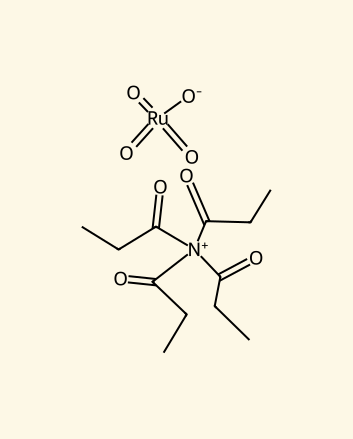 CCC(=O)[N+](C(=O)CC)(C(=O)CC)C(=O)CC.[O]=[Ru](=[O])(=[O])[O-]